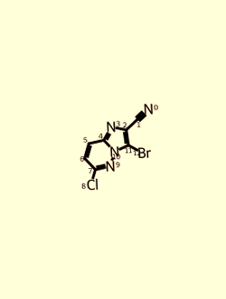 N#Cc1nc2ccc(Cl)nn2c1Br